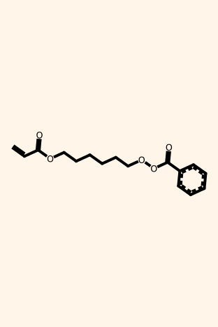 C=CC(=O)OCCCCCCOOC(=O)c1ccccc1